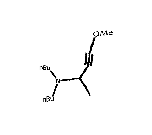 CCCCN(CCCC)C(C)C#COC